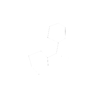 C.C1CCC(CC2CCCCC2)CC1